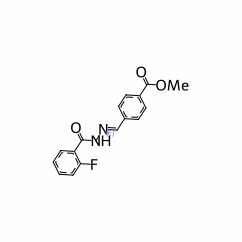 COC(=O)c1ccc(/C=N/NC(=O)c2ccccc2F)cc1